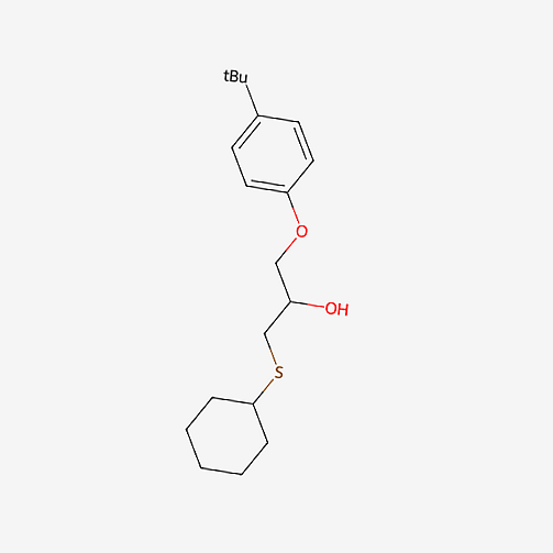 CC(C)(C)c1ccc(OCC(O)CSC2CCCCC2)cc1